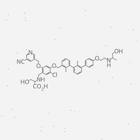 Cc1c(COc2cc(OCc3cncc(C#N)c3)c(CNC(CO)C(=O)O)cc2Cl)cccc1-c1cccc(-c2ccc(OCCNC(C)CO)cc2)c1C